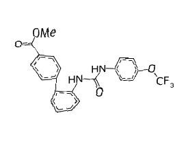 COC(=O)c1ccc(-c2ccccc2NC(=O)Nc2ccc(OC(F)(F)F)cc2)cc1